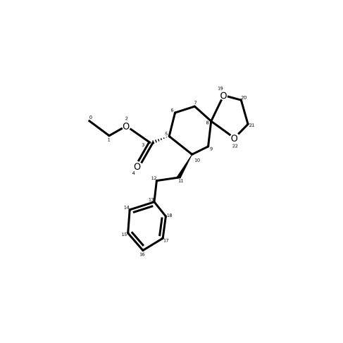 CCOC(=O)[C@@H]1CCC2(C[C@H]1CCc1ccccc1)OCCO2